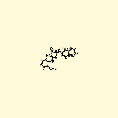 Cc1ccccc1/N=C1\NC(=O)/C(=C/c2ccc3ncccc3c2)S1